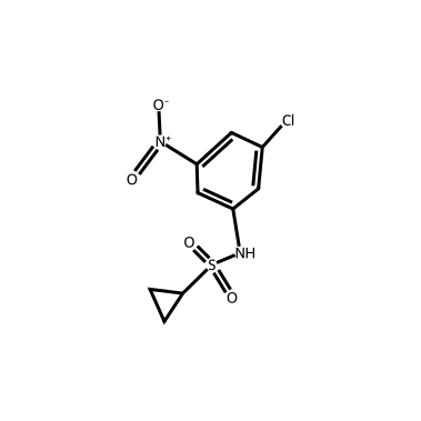 O=[N+]([O-])c1cc(Cl)cc(NS(=O)(=O)C2CC2)c1